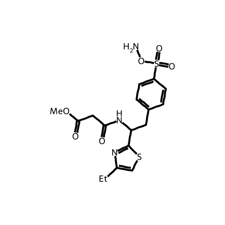 CCc1csc(C(Cc2ccc(S(=O)(=O)ON)cc2)NC(=O)CC(=O)OC)n1